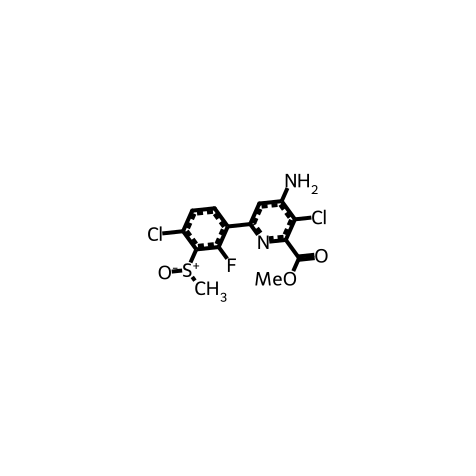 COC(=O)c1nc(-c2ccc(Cl)c([S+](C)[O-])c2F)cc(N)c1Cl